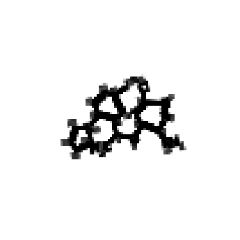 CC(Oc1cc(Cl)nnc1N)c1cc(F)ccc1-n1cccc1